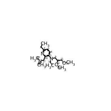 CCc1ccc(N(CC)CC(COC)OC)c(CN(C)C)n1